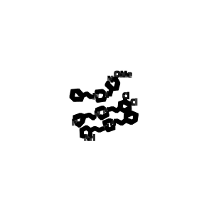 COc1ccc(CN2CCN(CCc3ccccc3)CC2)cn1.Clc1ccc(CCN2CCN(CCc3ccncc3)CC2)cc1Cl.c1ccc(CCN2CCN(CCC3CCCNC3)CC2)cc1